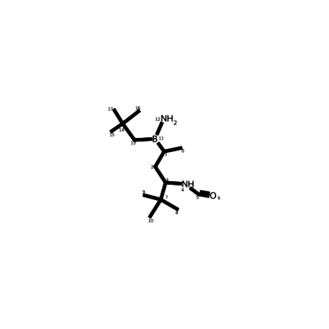 CC(CC(NC=O)C(C)(C)C)B(N)CC(C)(C)C